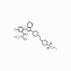 CC(C)N(C)C(=O)c1cc(F)ccc1-n1cc(C2CCN(CCC3CCN(S(C)(=O)=O)CC3)CC2)c2ccncc21